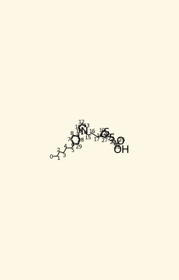 CCCCCCc1ccc(-c2cccn2CCCc2csc(SCC(=O)O)c2)cc1